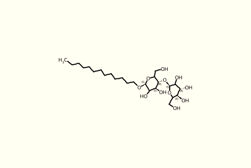 CCCCCCCCCCCCCO[C@H]1OC(CO)[C@H](O[C@@H]2OC(CO)[C@H](O)[C@@H](O)C2O)[C@@H](O)C1O